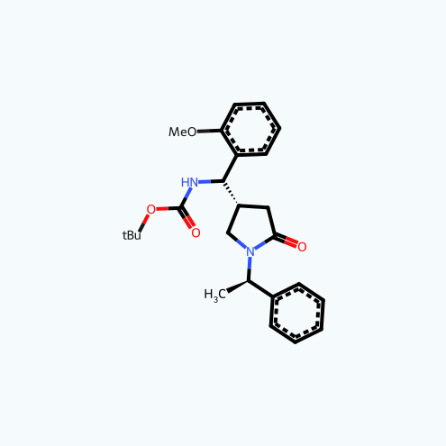 COc1ccccc1C(NC(=O)OC(C)(C)C)[C@@H]1CC(=O)N([C@H](C)c2ccccc2)C1